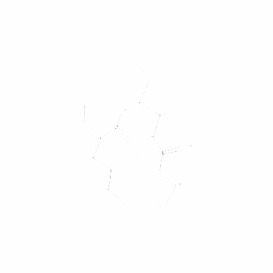 CCCCC(CC)C(=O)O.CCCCCC(=O)OCC